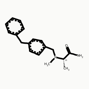 C[C@@H](C(N)=O)N(C)Cc1ccc(Cc2ccccc2)cc1